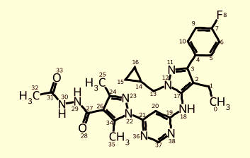 CCc1c(-c2ccc(F)cc2)nn(CC2CC2)c1Nc1cc(-n2nc(C)c(C(=O)NNC(C)=O)c2C)ncn1